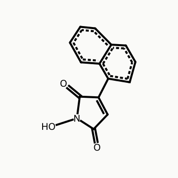 O=C1C=C(c2cccc3ccccc23)C(=O)N1O